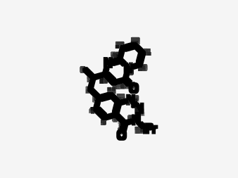 CC(Cc1ccc2c(=O)n(C(C)C)nnc2c1)c1cc(=O)n2ccccc2n1